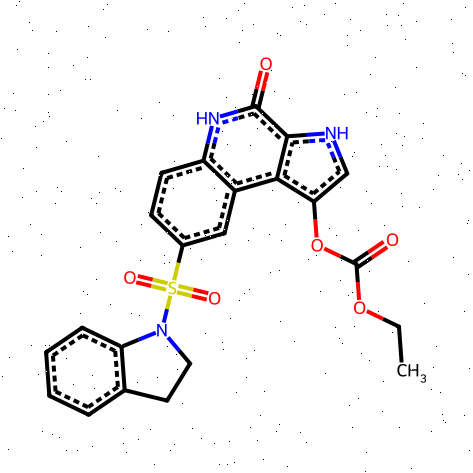 CCOC(=O)Oc1c[nH]c2c(=O)[nH]c3ccc(S(=O)(=O)N4CCc5ccccc54)cc3c12